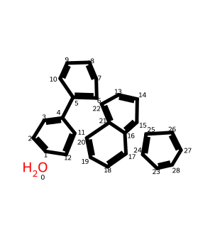 O.c1ccc(-c2ccccc2)cc1.c1ccc2ccccc2c1.c1ccccc1